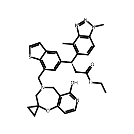 CCOC(=O)C[C@@H](c1cc(CN2Cc3c(ccnc3O)OC3(CC3)C2)c2sccc2c1)c1ccc2c(nnn2C)c1C